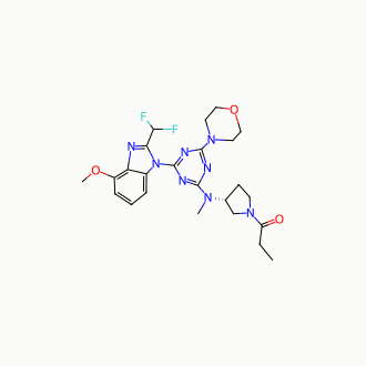 CCC(=O)N1CC[C@@H](N(C)c2nc(N3CCOCC3)nc(-n3c(C(F)F)nc4c(OC)cccc43)n2)C1